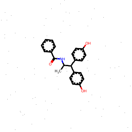 CC(NC(=O)c1ccccc1)C(c1ccc(O)cc1)c1ccc(O)cc1